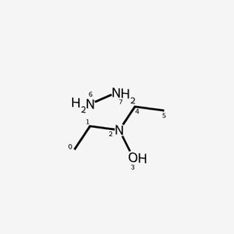 CCN(O)CC.NN